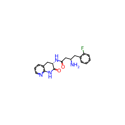 N[C@@H](CC(=O)N[C@H]1Cc2cccnc2NC1=O)Cc1ccccc1F